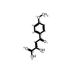 COc1ccc(C(=O)/C=C(\O)C(=O)O)cc1